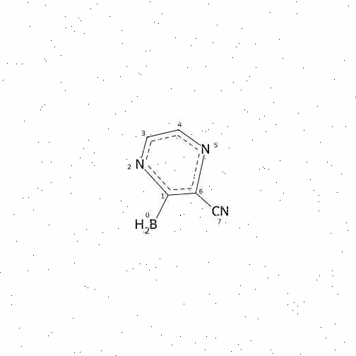 Bc1nccnc1C#N